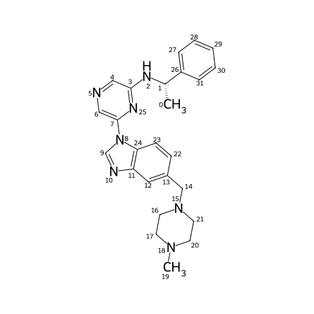 C[C@H](Nc1cncc(-n2cnc3cc(CN4CCN(C)CC4)ccc32)n1)c1ccccc1